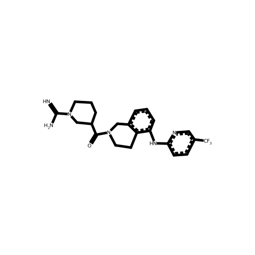 N=C(N)N1CCCC(C(=O)N2CCc3c(cccc3Nc3ccc(C(F)(F)F)cn3)C2)C1